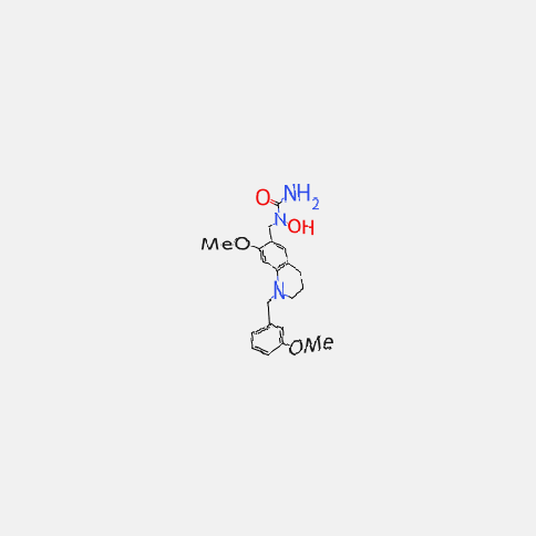 COc1cccc(CN2CCCc3cc(CN(O)C(N)=O)c(OC)cc32)c1